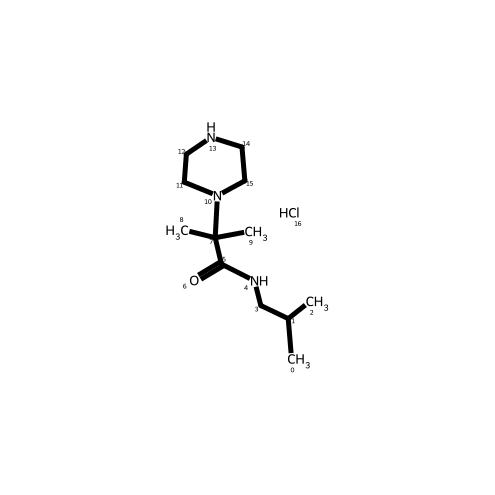 CC(C)CNC(=O)C(C)(C)N1CCNCC1.Cl